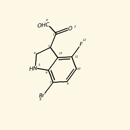 O=CC(=O)C1CNc2c(Br)ccc(F)c21